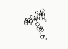 CS(=O)(=O)O.Cc1c(C(=O)NN2CCCCC2)nn(-c2ccc(Cl)cc2Cl)c1-c1ccc(OS(=O)(=O)CCCC(F)(F)F)cc1